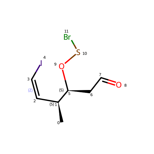 C[C@@H](/C=C\I)[C@H](CC=O)OSBr